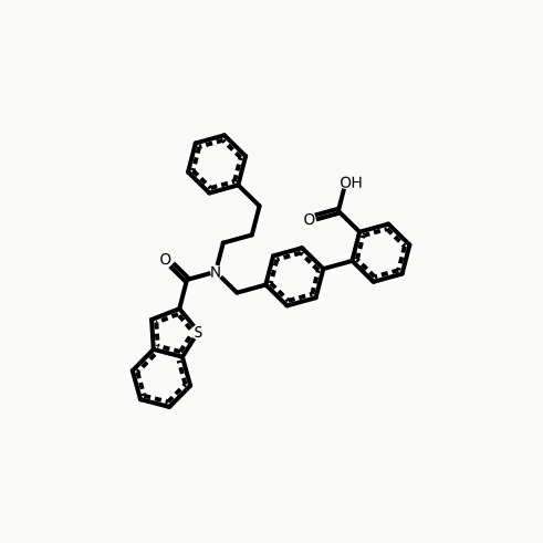 O=C(O)c1ccccc1-c1ccc(CN(CCCc2ccccc2)C(=O)c2cc3ccccc3s2)cc1